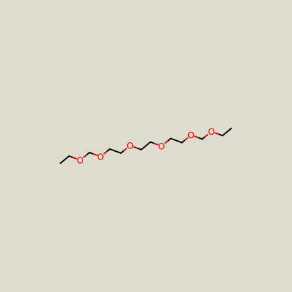 CCOCOCCOCCOCCOCOCC